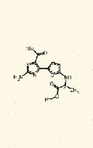 CC(C)OC(=O)[C@H](C)Nc1ccc(-c2nc(N)sc2C(=O)C(C)(C)C)o1